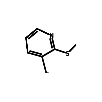 [CH2]c1cccnc1SC